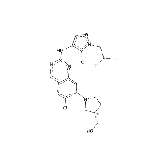 OC[C@H]1CCN(c2cc3nc(Nc4cnn(CC(F)F)c4Cl)ncc3cc2Cl)C1